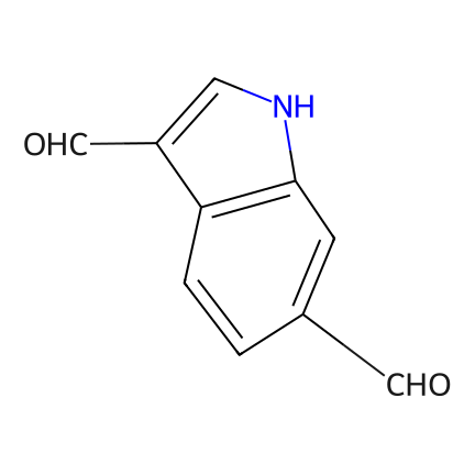 O=Cc1ccc2c(C=O)c[nH]c2c1